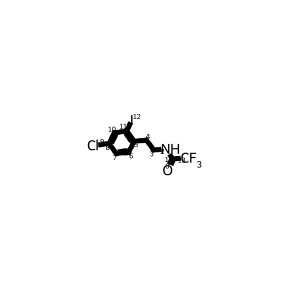 O=C(NCCc1ccc(Cl)cc1I)C(F)(F)F